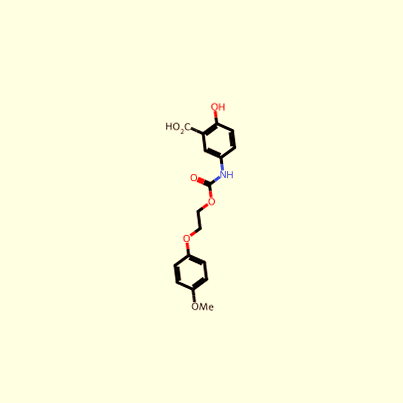 COc1ccc(OCCOC(=O)Nc2ccc(O)c(C(=O)O)c2)cc1